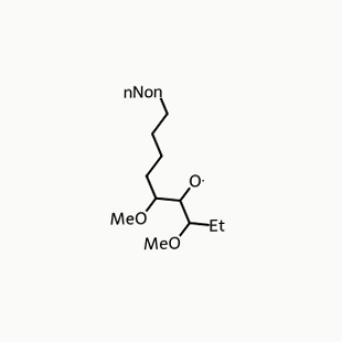 CCCCCCCCCCCCCC(OC)C([O])C(CC)OC